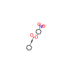 O=C(C#Cc1ccccc1)Oc1ccc([N+](=O)[O-])cc1